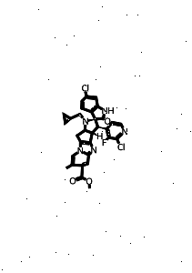 COC(=O)c1cc2nc3c(n2cc1C)CC1[C@@H]3[C@H](c2ccnc(Cl)c2F)[C@]2(C(=O)Nc3cc(Cl)ccc32)N1CC1CC1